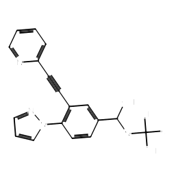 CC(C)(C)NC(O)c1ccc(-n2cccn2)c(C#Cc2ccccn2)c1